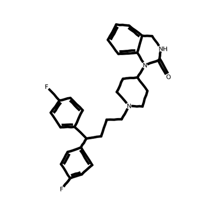 O=C1NCc2ccccc2N1C1CCN(CCCC(c2ccc(F)cc2)c2ccc(F)cc2)CC1